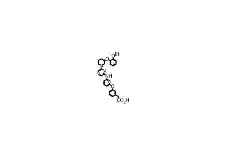 CCOc1ccccc1O[C@@H]1CCCN(c2cncc(Nc3cccc(Oc4cccc(CC(=O)O)c4)n3)n2)C1